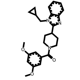 COc1cc(OC)cc(C(=O)N2CCC(c3nc4ccccc4n3CC3CC3)CC2)c1